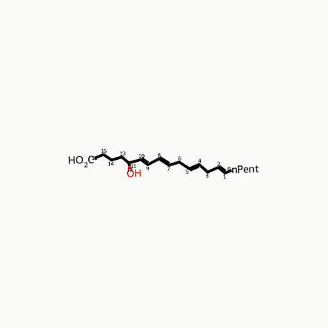 CCCCC/C=C/C/C=C/C/C=C/C=C/C(O)CCCC(=O)O